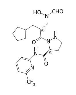 O=CN(O)C[C@@H](CC1CCCC1)C(=O)N1NCC[C@H]1C(=O)Nc1cccc(C(F)(F)F)n1